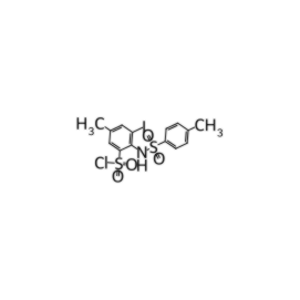 Cc1ccc(S(=O)(=O)Nc2c(I)cc(C)cc2S(=O)(=O)Cl)cc1